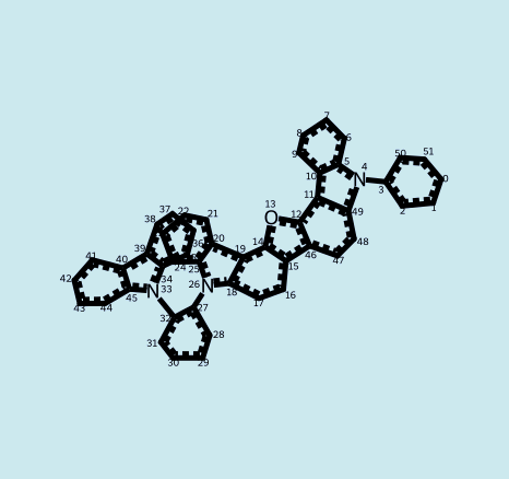 c1ccc(-n2c3ccccc3c3c4oc5c(ccc6c5c5ccccc5n6-c5ccccc5-n5c6ccccc6c6ccccc65)c4ccc32)cc1